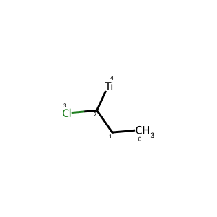 CC[CH](Cl)[Ti]